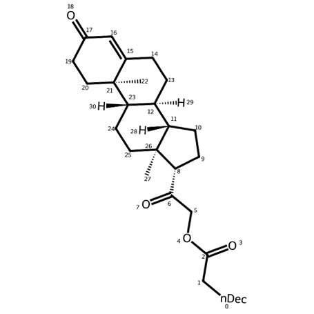 CCCCCCCCCCCC(=O)OCC(=O)[C@H]1CC[C@H]2[C@@H]3CCC4=CC(=O)CC[C@]4(C)[C@H]3CC[C@]12C